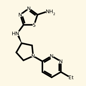 CCc1ccc(N2CC[C@@H](Nc3nnc(N)s3)C2)nn1